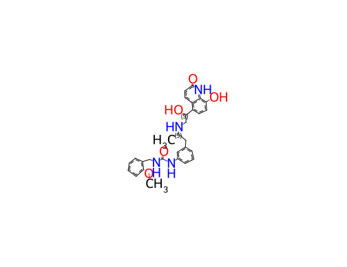 COc1ccccc1CNC(=O)Nc1cccc(C[C@H](C)NC[C@@H](O)c2ccc(O)c3[nH]c(=O)ccc23)c1